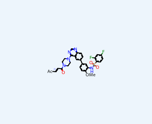 COc1ccc(-c2ccc3ncnc(N4CCN(C(=O)/C=C/C(C)=O)CC4)c3c2)cc1NS(=O)(=O)c1ccc(F)cc1F